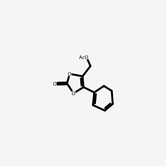 CC(=O)OCc1oc(=O)oc1C1=CC=CCC1